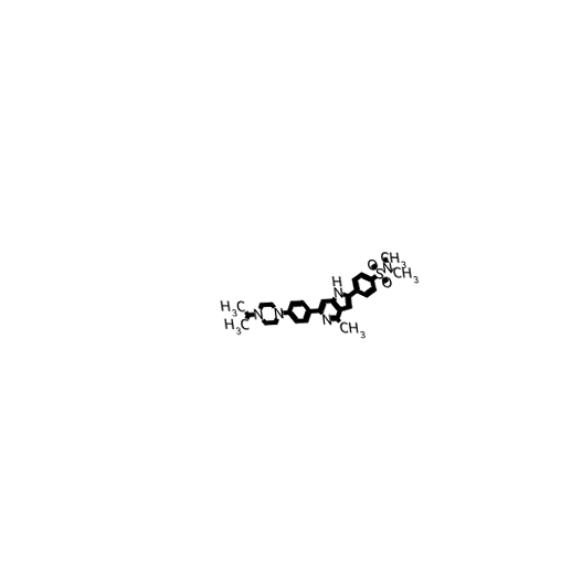 Cc1nc(-c2ccc(N3CCN(C(C)C)CC3)cc2)cc2[nH]c(-c3ccc(S(=O)(=O)N(C)C)cc3)cc12